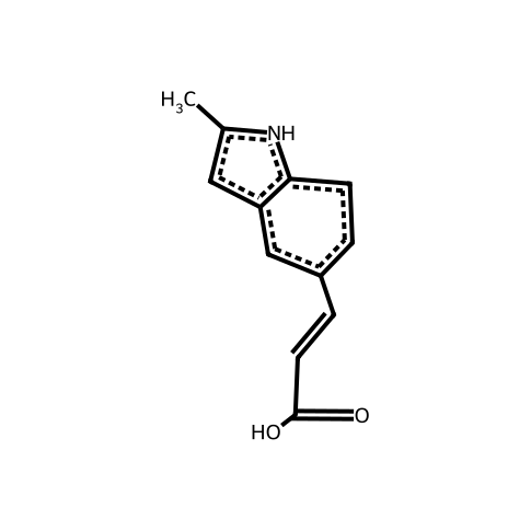 Cc1cc2cc(C=CC(=O)O)ccc2[nH]1